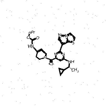 CCCOC(=O)NC1CCN(C(=O)c2cc(N[C@H](C)C3CC3)nc(-c3cnn4ccsc34)n2)CC1